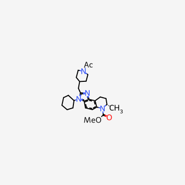 COC(=O)N1c2ccc3c(nc(CC4CCN(C(C)=O)CC4)n3C3CCCCC3)c2CC[C@@H]1C